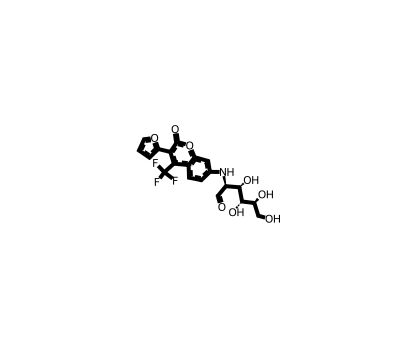 O=C[C@@H](Nc1ccc2c(C(F)(F)F)c(-c3ccco3)c(=O)oc2c1)[C@H](O)[C@@H](O)[C@@H](O)CO